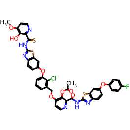 COc1ccnc(C(=S)Nc2nc3ccc(Oc4cccc(COc5ccnc(C(=O)Nc6nc7ccc(Oc8ccc(F)cc8)cc7s6)c5OC(C)=O)c4Cl)cc3s2)c1O